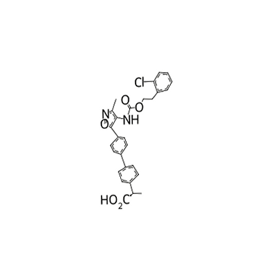 Cc1noc(-c2ccc(-c3ccc([C@@H](C)C(=O)O)cc3)cc2)c1NC(=O)OCCc1ccccc1Cl